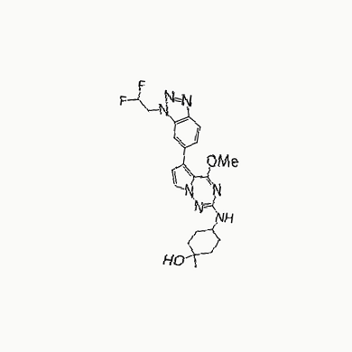 COc1nc(NC2CCC(C)(O)CC2)nn2ccc(-c3ccc4nnn(CC(F)F)c4c3)c12